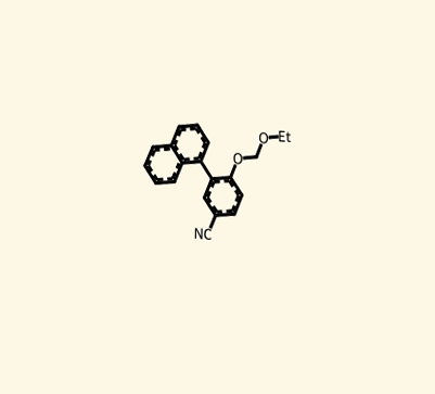 CCOCOc1ccc(C#N)cc1-c1cccc2ccccc12